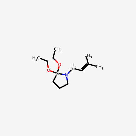 CCO[Si]1(OCC)CCCN1[SiH2]C=C(C)C